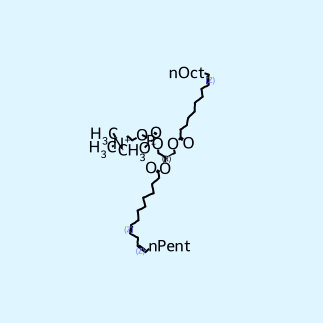 CCCCC/C=C\C/C=C\CCCCCCCC(=O)O[C@H](COC(=O)CCCCCCC/C=C\CCCCCCCC)COP(=O)([O-])OCC[N+](C)(C)C